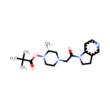 C[C@@H]1CN(CC(=O)N2CCc3cnccc32)CCN1OC(=O)C(C)(C)C